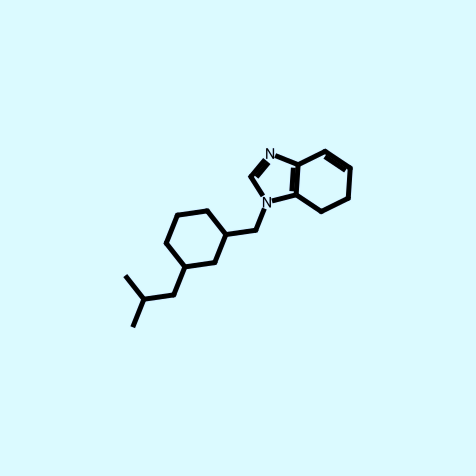 CC(C)CC1CCCC(Cn2cnc3c2CCC=C3)C1